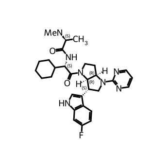 CN[C@@H](C)C(=O)N[C@H](C(=O)N1CC[C@@H]2[C@H]1[C@@H](c1c[nH]c3cc(F)ccc13)CN2c1ncccn1)C1CCCCC1